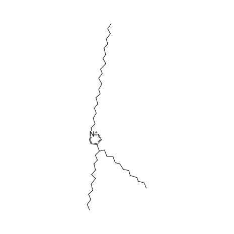 CCCCCCCCCCCCCCCCCCCCCC[n+]1ccc(C(CCCCCCCCCCCC)CCCCCCCCCCCC)cc1